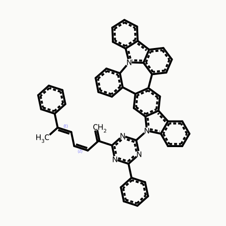 C=C(/C=C\C=C(/C)c1ccccc1)c1nc(-c2ccccc2)nc(-n2c3ccccc3c3cc4c(cc32)-c2ccccc2-n2c3ccccc3c3cccc-4c32)n1